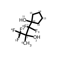 CC(O)(C(F)(F)F)C(F)(F)C1(O)CCCC1